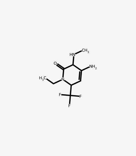 CCN1C(=O)C(NC)C(N)=CC1C(F)(F)F